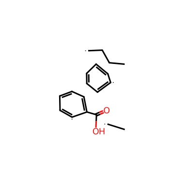 O=C(O)c1[c]cccc1.[CH2]C.[CH2]CCC.[c]1ccccc1